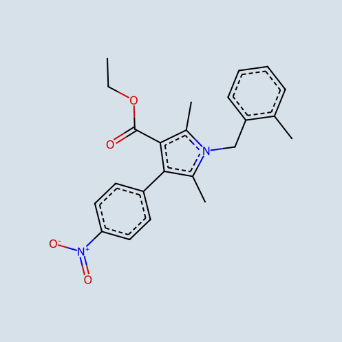 CCOC(=O)c1c(-c2ccc([N+](=O)[O-])cc2)c(C)n(Cc2ccccc2C)c1C